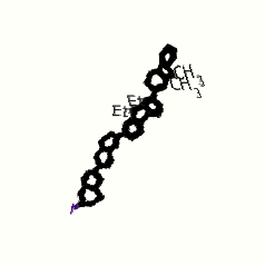 CCC1(CC)c2cc(C3=CC4C=CC(C5=CC6CCC(I)CC6C=C5)=CC4C=C3)ccc2-c2ccc(C3=CC4=C(CC3)c3ccccc3C4(C)C)cc21